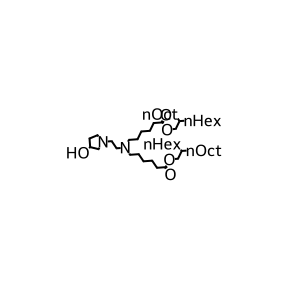 CCCCCCCCC(CCCCCC)COC(=O)CCCCCN(CCCCCC(=O)OCC(CCCCCC)CCCCCCCC)CCN1CCC(O)C1